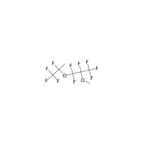 COC(F)(C(F)(F)F)C(F)(F)OC(C)(F)C(F)(F)F